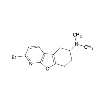 CN(C)[C@@H]1CCc2oc3nc(Br)ccc3c2C1